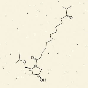 CC(C)OC[C@@H]1C[C@H](O)CN1C(=O)CCCCCCCCCCC(=O)C(C)C